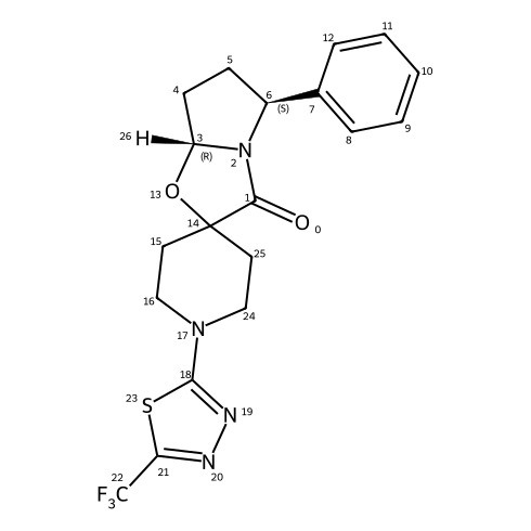 O=C1N2[C@@H](CC[C@H]2c2ccccc2)OC12CCN(c1nnc(C(F)(F)F)s1)CC2